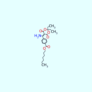 CCCCCCCOC(=O)c1ccc(C(N)=C2C(=O)OC(CC)(CC)OC2=O)cc1